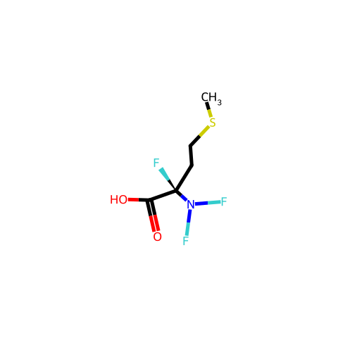 CSCC[C@@](F)(C(=O)O)N(F)F